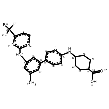 Cc1cc(Nc2nccc(C(F)(F)F)n2)cc(-c2ccc(NC3CCC(C(=O)O)CC3)nc2)c1